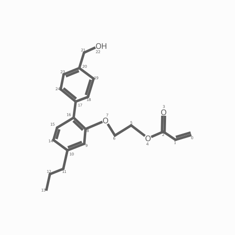 C=CC(=O)OCCOc1cc(CCC)ccc1-c1ccc(CO)cc1